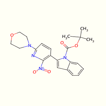 CC(C)(C)OC(=O)n1c(-c2ccc(N3CCOCC3)nc2[N+](=O)[O-])cc2ccccc21